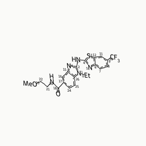 CCn1c(Nc2nc3ccc(C(F)(F)F)cc3s2)nc2cc(C(=O)NCCOC)ccc21